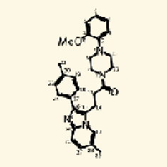 COc1ccccc1N1CCN(C(=O)CCc2c(-c3ccc(C)cc3)nc3ccc(C)cn23)CC1